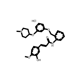 COc1ccc(C=CC(=O)Nc2ccccc2COc2cccc(OC3CCN(C)CC3)c2)cc1O.Cl